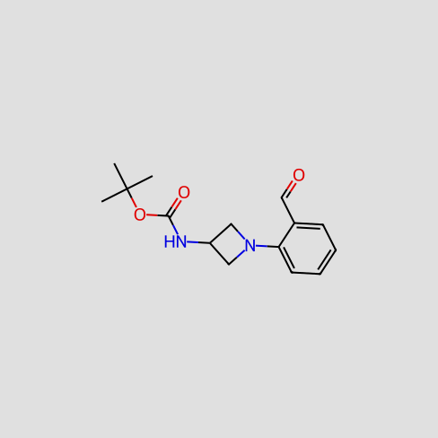 CC(C)(C)OC(=O)NC1CN(c2ccccc2C=O)C1